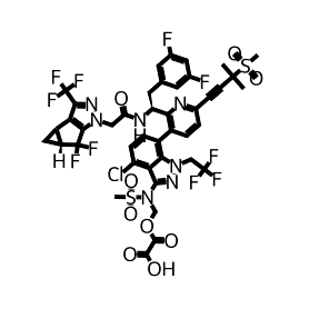 CC(C)(C#Cc1ccc(-c2ccc(Cl)c3c(N(COC(=O)C(=O)O)S(C)(=O)=O)nn(CC(F)(F)F)c23)c([C@H](Cc2cc(F)cc(F)c2)NC(=O)Cn2nc(C(F)(F)F)c3c2C(F)(F)[C@@H]2CC32)n1)S(C)(=O)=O